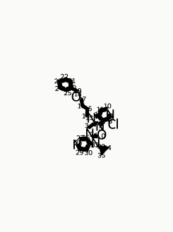 O=c1n(Cc2nc3c(Cl)nccc3n2CCCCOCc2ccccc2)c2cnccc2n1C1CC1